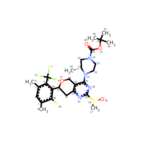 Cc1cc(C)c(C(F)(F)F)c(C2Cc3nc([S+](C)[O-])nc(N4CCN(C(=O)OC(C)(C)C)C[C@H]4C)c3CO2)c1F